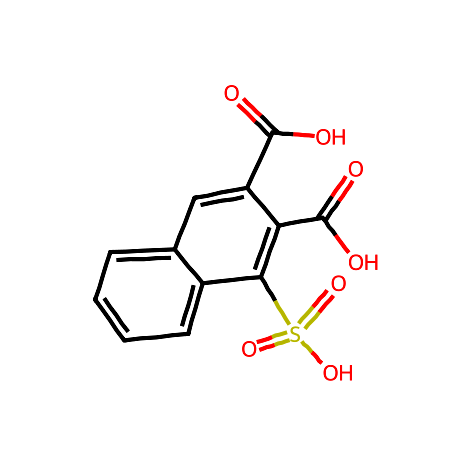 O=C(O)c1cc2ccccc2c(S(=O)(=O)O)c1C(=O)O